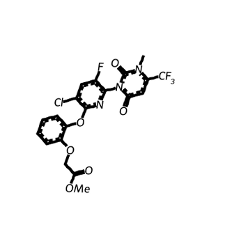 COC(=O)COc1ccccc1Oc1nc(-n2c(=O)cc(C(F)(F)F)n(C)c2=O)c(F)cc1Cl